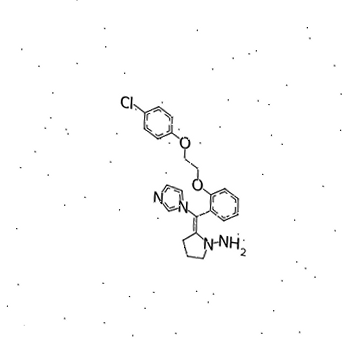 NN1CCCC1=C(c1ccccc1OCCOc1ccc(Cl)cc1)n1ccnc1